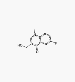 Cn1cc(CO)c(=O)c2cc(F)ccc21